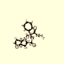 NC(=O)C1(c2ccccc2)Cn2c(cc3occc32)C(=O)N1